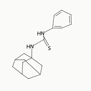 S=C(Nc1ccccc1)NC12CC3CC(CC(C3)C1)C2